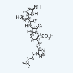 CN(C)CCCn1nnnc1SCC1=C(C(=O)O)N2C(=O)C(NC(=O)C(=NO)c3csc(=N)[nH]3)[C@@H]2SC1